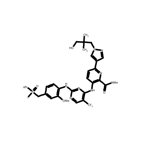 CCCP(=O)(I)Cc1ccc(Nc2ncc(C(F)(F)F)c(Nc3ccc(-c4cnn(CC(C)(C)CO)c4)nc3C(=O)NC)n2)c(OC)c1